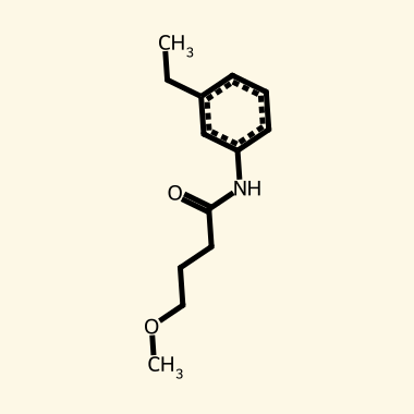 CCc1cccc(NC(=O)CCCOC)c1